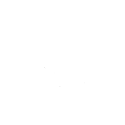 CCOc1cccc(C)c1NC